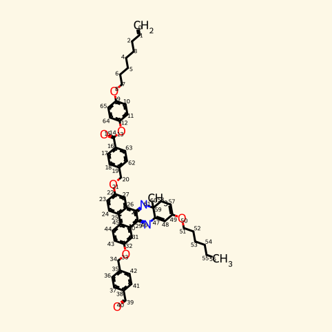 C=CCCCCCCOc1ccc(OC(=O)c2ccc(COc3ccc4c(c3)c3c(c5cc(OCc6ccc(C=O)cc6)ccc54)=NC4=CC(OCCCCCC)=CCC4(C)N=3)cc2)cc1